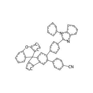 N#Cc1ccc(-c2cc3c(cc2-c2ccc(-c4nc5ccccc5n4-c4ccccc4)cc2)C2(c4ccccc4Oc4ccccc42)c2ccccc2-3)cc1